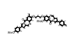 COc1ccc(C2=CN3C(=O)c4cc(C)c(OCCCOc5cc6c(cc5OC)C(=O)N5C=C(c7ccc(C)cc7)CC5C=N6)cc4N=CC3C2)cc1